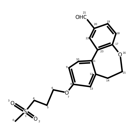 CS(=O)(=O)CCCOc1ccc2c(c1)CCOc1ccc(C=O)cc1-2